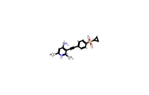 Cc1cc(N)c(C#Cc2ccc(S(=O)(=O)C3CC3)cc2)c(C)n1